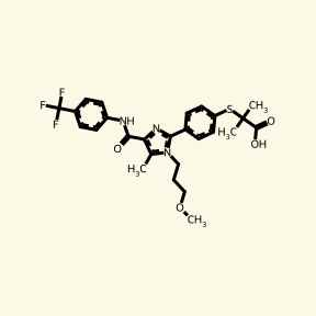 COCCCn1c(-c2ccc(SC(C)(C)C(=O)O)cc2)nc(C(=O)Nc2ccc(C(F)(F)F)cc2)c1C